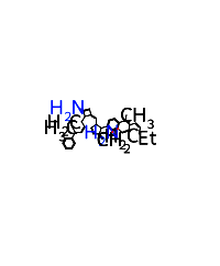 C=C(\C=C/C(/C=C\CN)=C(\C)c1ccc(C2C(=C)C=CC2/C=C2/C=C(N)C2C(=C)/C=C\C(C)c2ccccc2)cc1)CC